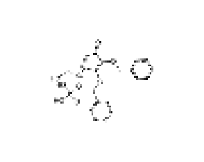 O=C1O[C@H]([C@@H](CO)OP(=O)(O)O)C(OCc2ccccc2)=C1OCc1ccccc1